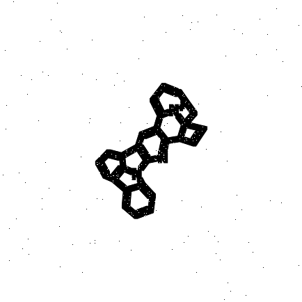 C1=CC23Cc4cccc([n+]42)-c2cc4c5cccc6c7ccccc7n(c4nc2C13)c65